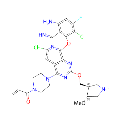 C=CC(=O)N1CCN(c2nc(OC[C@H]3CN(C)C[C@@H]3OC)nc3c(Oc4c(Cl)c(F)cc(N)c4C=N)nc(Cl)cc23)CC1